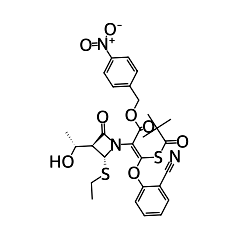 CCS[C@@H]1[C@@H]([C@@H](C)O)C(=O)N1C(C(=O)OCc1ccc([N+](=O)[O-])cc1)=C(Oc1ccccc1C#N)SC(=O)C(C)(C)C